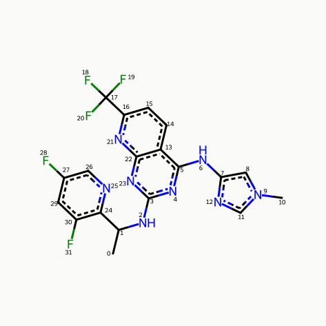 CC(Nc1nc(Nc2cn(C)cn2)c2ccc(C(F)(F)F)nc2n1)c1ncc(F)cc1F